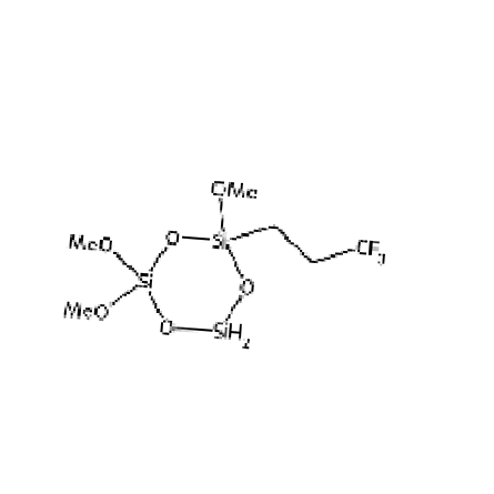 CO[Si]1(CCC(F)(F)F)O[SiH2]O[Si](OC)(OC)O1